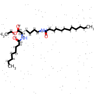 CCCCCCCCCCCC(=O)NCCCC[C@H](NC(=O)CCCCCCC)C(=O)OCC